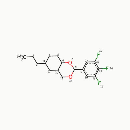 CCCC1CCC2OC(c3cc(F)c(F)c(F)c3)OCC2C1